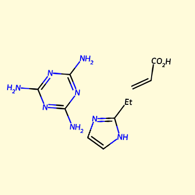 C=CC(=O)O.CCc1ncc[nH]1.Nc1nc(N)nc(N)n1